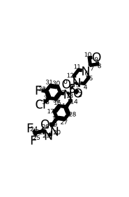 O=S(=O)(N1CCN(C2COC2)CC1)N(Cc1ccc(-c2nnc(C(F)F)o2)cc1)c1ccc(F)c(Cl)c1